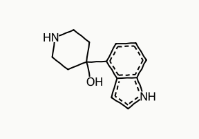 OC1(c2cccc3[nH]ccc23)CCNCC1